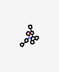 c1ccc(-c2ccc(-c3c(N(c4ccccc4)c4ccc(-c5ccccc5)cc4)c4ccccc4c4ccccc34)cc2)cc1